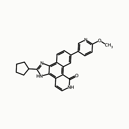 COc1ccc(-c2ccc3c(c2)c2c(=O)[nH]ccc2c2[nH]c(C4CCCC4)nc32)cn1